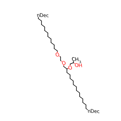 CCCCCCCCCCCCCCCCCCCCCCCC(COCCOCCCCCCCCCCCCCCCCCCCCCC)OCC(C)O